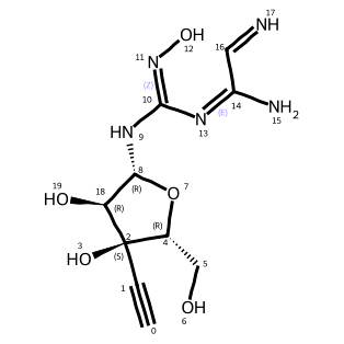 C#C[C@@]1(O)[C@@H](CO)O[C@@H](NC(=N/O)/N=C(/N)C=N)[C@@H]1O